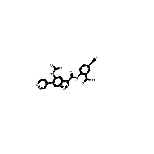 CC(=O)Nc1cc2c(C(=O)Nc3ccc(C#N)cc3C(=O)O)noc2cc1-c1ccnnc1